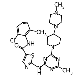 Cc1nc(Nc2ncc(C(=O)Nc3c(C)cccc3Cl)s2)nc(N2CCC(N3CCN(C)CC3)CC2)n1